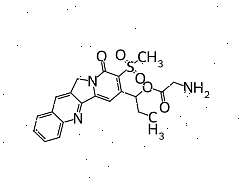 CCC(OC(=O)CN)c1cc2n(c(=O)c1S(C)(=O)=O)Cc1cc3ccccc3nc1-2